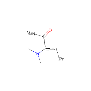 CNC(=O)C(=CC(C)C)N(C)C